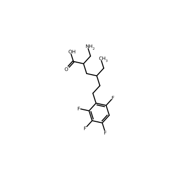 CCC(CCc1c(F)cc(F)c(F)c1F)CC(CN)C(=O)O